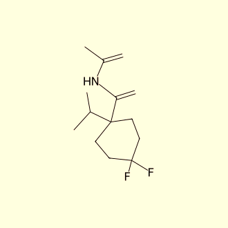 C=C(C)NC(=C)C1(C(C)C)CCC(F)(F)CC1